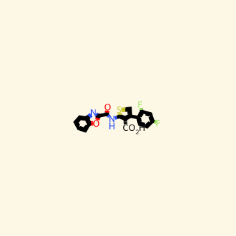 O=C(Nc1scc(-c2ccc(F)cc2F)c1C(=O)O)c1nc2ccccc2o1